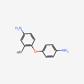 CCCc1cc(N)ccc1Oc1ccc(N)cc1